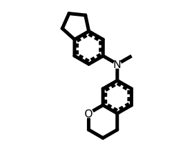 CN(c1ccc2c(c1)CCC2)c1ccc2c(c1)OCCC2